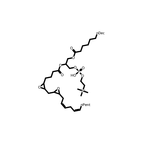 CCCCC/C=C\C/C=C\CC1OC1CC1OC1CCCC(=O)OC(COC(=O)CCCCCCCCCCCCCCC)COP(=O)(O)OCC[N+](C)(C)C